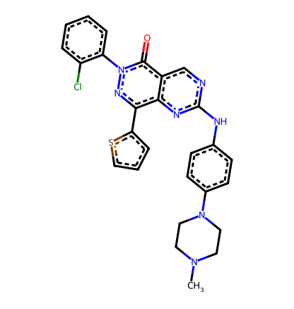 CN1CCN(c2ccc(Nc3ncc4c(=O)n(-c5ccccc5Cl)nc(-c5cccs5)c4n3)cc2)CC1